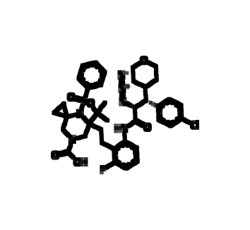 CC(C)(C)C1(CCc2c(F)cccc2NC(=O)[C@@H](N=[N+]=[N-])[C@@H](c2ccc(Cl)cc2)C2CCOCC2)CN(C(=O)O)CC2(CC2)N1S(=O)(=O)c1ccccc1